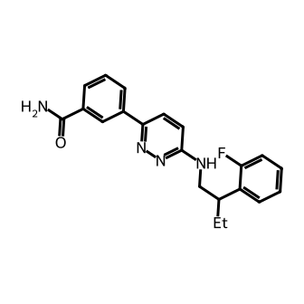 CCC(CNc1ccc(-c2cccc(C(N)=O)c2)nn1)c1ccccc1F